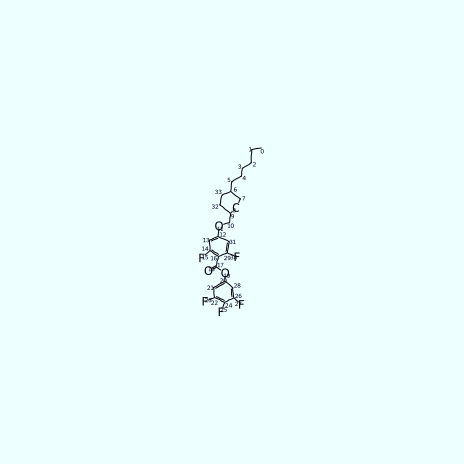 CCCCCCC1CCC(COc2cc(F)c(C(=O)Oc3cc(F)c(F)c(F)c3)c(F)c2)CC1